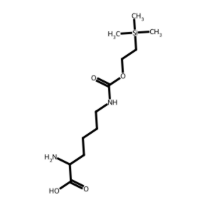 C[Si](C)(C)CCOC(=O)NCCCCC(N)C(=O)O